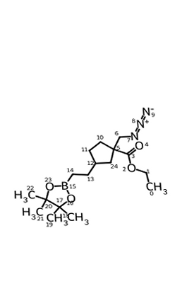 CCOC(=O)C1(CN=[N+]=[N-])CCC(CCB2OC(C)(C)C(C)(C)O2)C1